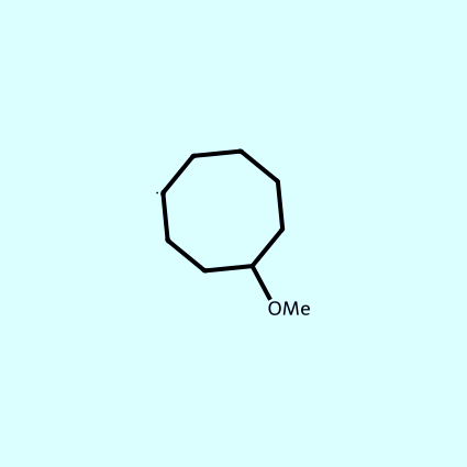 COC1CC[CH]CCCC1